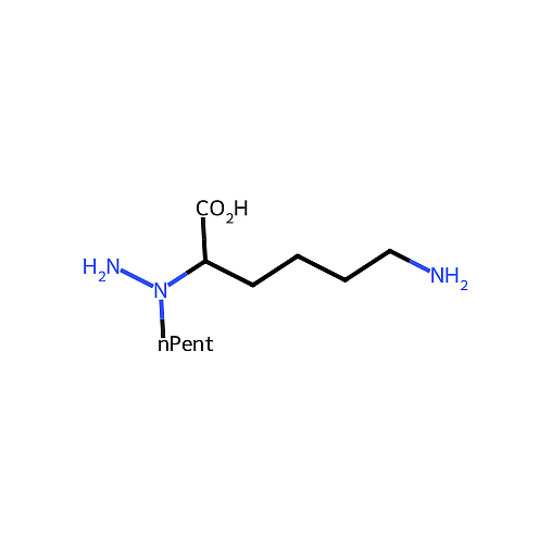 CCCCCN(N)C(CCCCN)C(=O)O